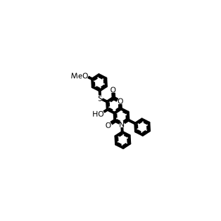 COc1cccc(Sc2c(O)c3c(=O)n(-c4ccccc4)c(-c4ccccc4)cc3oc2=O)c1